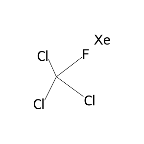 FC(Cl)(Cl)Cl.[Xe]